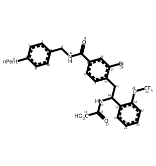 CCCCCc1ccc(CNC(=O)c2ccc(CC(NC(=O)C(=O)O)c3ccccc3OC(F)(F)F)c(Br)c2)cc1